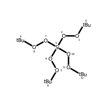 CC(C)(C)OO[Si](OOC(C)(C)C)(OOC(C)(C)C)OOC(C)(C)C